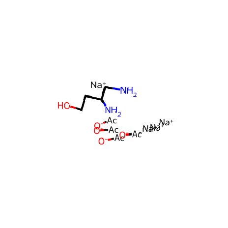 CC(=O)[O-].CC(=O)[O-].CC(=O)[O-].CC(=O)[O-].NCC(N)CCO.[Na+].[Na+].[Na+].[Na+]